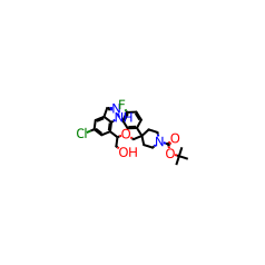 CC(C)(C)OC(=O)N1CCC(COC(CO)c2cc(Cl)cc3cn[nH]c23)(c2ccc(F)cc2)CC1